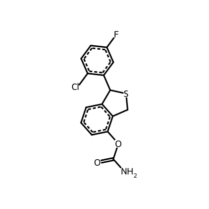 NC(=O)Oc1cccc2c1CSC2c1cc(F)ccc1Cl